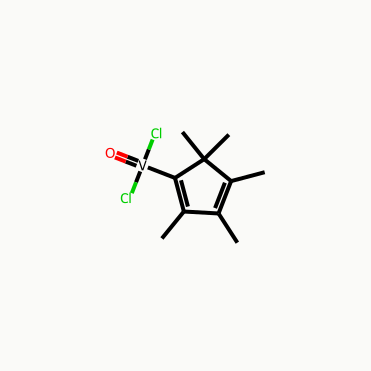 CC1=C(C)C(C)(C)[C]([V](=[O])([Cl])[Cl])=C1C